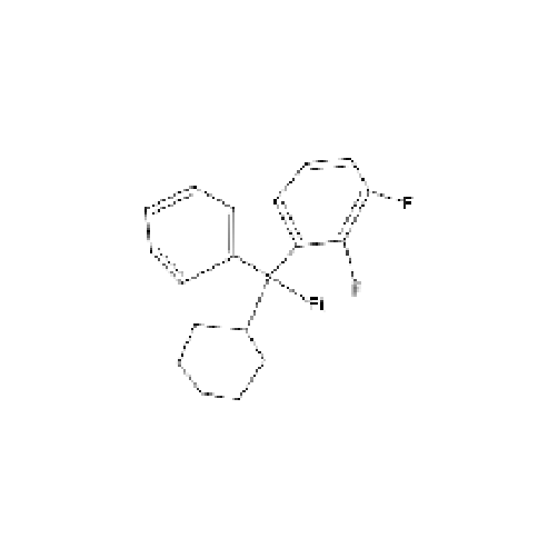 CCC(c1ccccc1)(c1cccc(F)c1F)C1CCCCC1